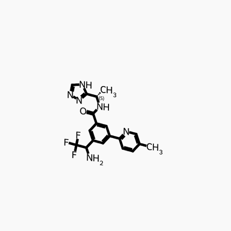 Cc1ccc(-c2cc(C(=O)N[C@@H](C)c3nnc[nH]3)cc(C(N)C(F)(F)F)c2)nc1